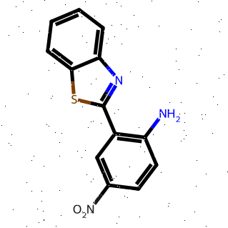 Nc1ccc([N+](=O)[O-])cc1-c1nc2ccccc2s1